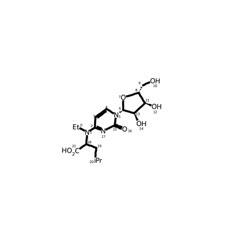 CCN(c1ccn([C@@H]2O[C@H](CO)[C@@H](O)[C@H]2O)c(=O)n1)C(CC(C)C)C(=O)O